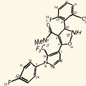 CNC(=O)C1=C(c2cnn(-c3ccc(F)cc3)c2C(F)(F)F)ONC1c1c(F)cccc1Cl